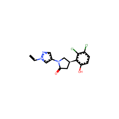 C=Cn1cc(N2C[C@@H](c3c(O)ccc(Cl)c3Cl)CC2=O)cn1